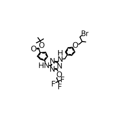 CC(CBr)COc1ccc(CNc2nc(Nc3ccc(C(=O)OC(C)(C)C)cc3)nc(OCC(F)(F)F)n2)cc1